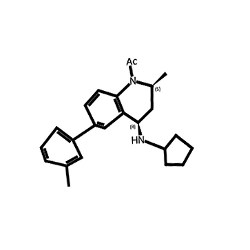 CC(=O)N1c2ccc(-c3cccc(C)c3)cc2[C@H](NC2CCCC2)C[C@@H]1C